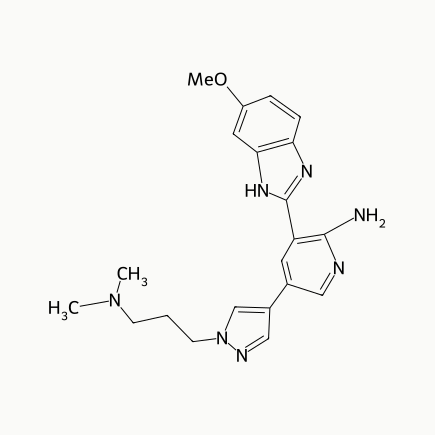 COc1ccc2nc(-c3cc(-c4cnn(CCCN(C)C)c4)cnc3N)[nH]c2c1